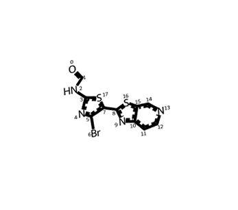 O=CNc1nc(Br)c(-c2nc3ccncc3s2)s1